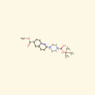 COC(=O)c1ccc2nc(N3CCN(C(=O)OC(C)(C)C)CC3)ccc2c1